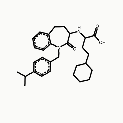 CC(C)c1ccc(CN2C(=O)C(NC(CCC3CCCCC3)C(=O)O)CCc3ccccc32)cc1